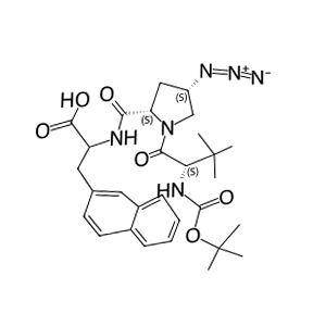 CC(C)(C)OC(=O)N[C@H](C(=O)N1C[C@@H](N=[N+]=[N-])C[C@H]1C(=O)NC(Cc1ccc2ccccc2c1)C(=O)O)C(C)(C)C